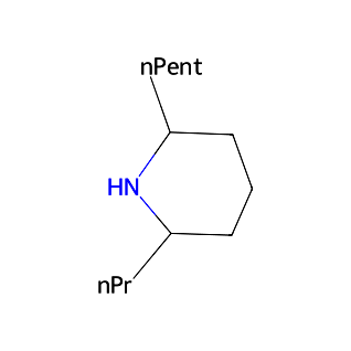 CCCCCC1CCCC(CCC)N1